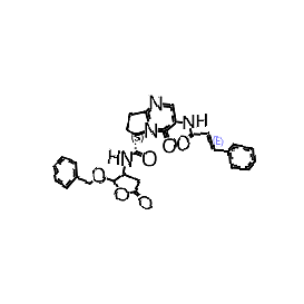 O=C(/C=C/c1ccccc1)Nc1cnc2n(c1=O)[C@H](C(=O)NC1CC(=O)OC1OCc1ccccc1)CC2